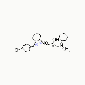 CN(C[C@@H](O)CO/N=C1\CCCC\C1=C/c1ccc(Cl)cc1)C1CCCCC1